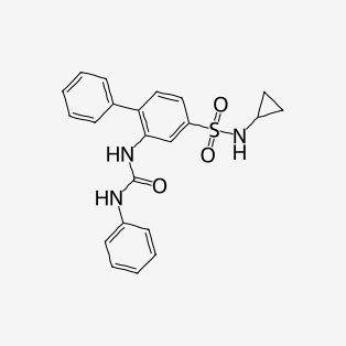 O=C(Nc1ccccc1)Nc1cc(S(=O)(=O)NC2CC2)ccc1-c1ccccc1